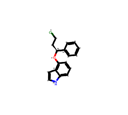 ClCC[C@H](Oc1cccc2[nH]ccc12)c1ccccc1